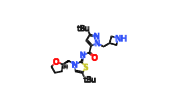 CC(C)(C)c1cc(C(=O)N=c2sc(C(C)(C)C)cn2C[C@H]2CCCO2)n(CC2CNC2)n1